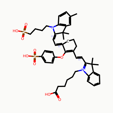 Cc1ccc2c(c1)C(C)(C)/C(=C\C=C1/CCCC(/C=C/C3=[N+](CCCCCC(=O)O)c4ccccc4C3(C)C)=C1Oc1ccc(S(=O)(=O)O)cc1)N2CCCCS(=O)(=O)O